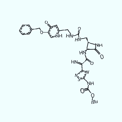 CC(C)(C)OC(=O)Nc1nc(C(=N)C(=O)N[C@@H]2C(=O)N[C@@H]2CNC(=O)NCc2cc(=O)c(OCc3ccccc3)c[nH]2)ns1